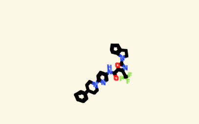 O=C(Nc1ccc(N2CCC(c3ccccc3)CC2)nc1)c1oc(N2CCc3ccccc32)nc1C(F)(F)F